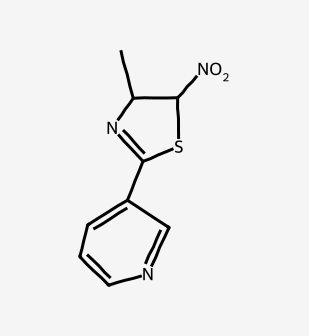 CC1N=C(c2cccnc2)SC1[N+](=O)[O-]